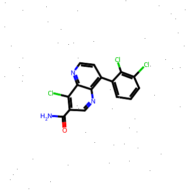 NC(=O)c1cnc2c(-c3cccc(Cl)c3Cl)ccnc2c1Cl